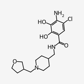 Nc1c(Cl)cc(C(=O)NCC2CCN(CC3CCOC3)CC2)c(O)c1O